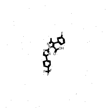 Cc1nn(-c2nc(-c3ccc(C(F)(F)F)cc3)cs2)c(C(=O)O)c1-c1cccc(F)c1